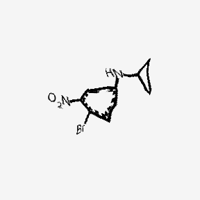 O=[N+]([O-])c1cc(NC2CC2)ccc1Br